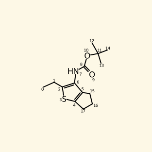 CCc1sc2c(c1NC(=O)OC(C)(C)C)CCC2